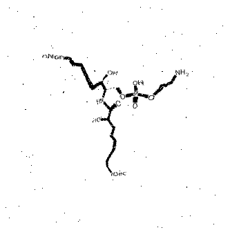 CCCCCCCCC/C=C/C=C/[C@@H](O)[C@H](COP(=O)(O)OCCN)NC(=O)C(O)CCCCCCCCCCCCCC